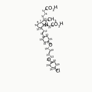 Cc1c(CCCC(=O)O)c2cccc(C=Cc3ccc(OC/C=C/COc4ccc(Cl)cc4)cc3)c2n1CC(=O)O